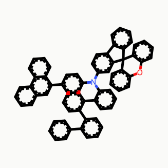 c1ccc(-c2ccccc2-c2ccccc2-c2ccccc2N(c2ccc(-c3cc4ccccc4c4ccccc34)cc2)c2ccc3c(c2)C2(c4ccccc4Oc4ccccc42)c2ccccc2-3)cc1